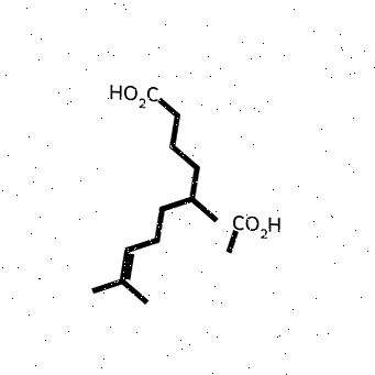 CC(=O)O.CC(C)=CCCC(C)CCCC(=O)O